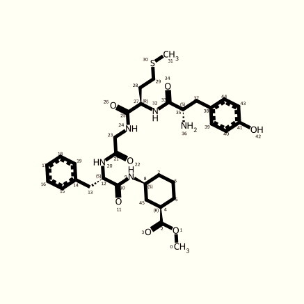 COC(=O)[C@@H]1CCC[C@H](NC(=O)[C@H](Cc2ccccc2)NC(=O)CNC(=O)[C@@H](CCSC)NC(=O)[C@@H](N)Cc2ccc(O)cc2)C1